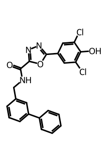 O=C(NCc1cccc(-c2ccccc2)c1)c1nnc(-c2cc(Cl)c(O)c(Cl)c2)o1